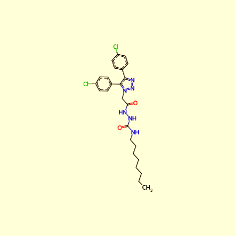 CCCCCCCCNC(=O)NNC(=O)Cn1nnc(-c2ccc(Cl)cc2)c1-c1ccc(Cl)cc1